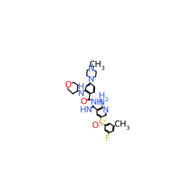 Cc1cc(F)cc([S+]([O-])c2cnc(N)c(C(=N)NC(=O)c3ccc(N4CCN(C)CC4)cc3NC3CCOCC3)c2)c1